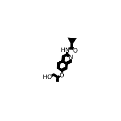 CC(CO)Oc1ccc2cc(NC(=O)C3CC3)ncc2c1